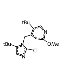 COc1cc(Cn2c(C(C)(C)C)cnc2Cl)c(C(C)(C)C)cn1